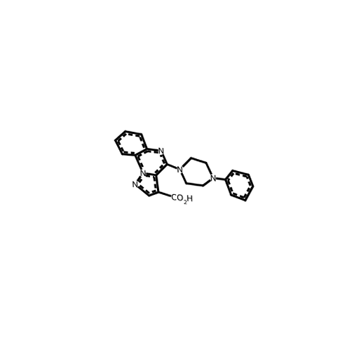 O=C(O)c1cnn2c1c(N1CCN(c3ccccc3)CC1)nc1ccccc12